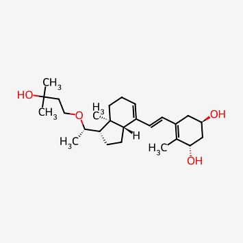 CC1=C(C=CC2=CCC[C@]3(C)[C@@H]([C@H](C)OCCC(C)(C)O)CC[C@@H]23)C[C@@H](O)C[C@@H]1O